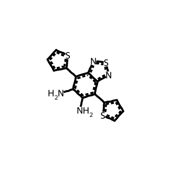 Nc1c(N)c(-c2cccs2)c2nsnc2c1-c1cccs1